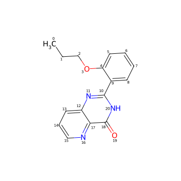 CCCOc1ccccc1-c1nc2cccnc2c(=O)[nH]1